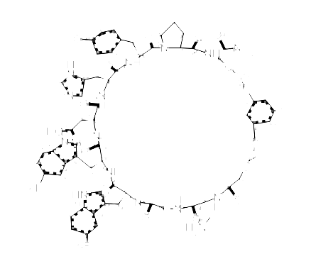 C[C@@]12CCCN1C(=O)[C@H](Cc1ccc(O)cc1)NC(=O)[C@H](Cc1cnc[nH]1)NC(=O)[C@H](CC(=O)O)NC(=O)[C@H](Cc1c[nH]c3ccc(F)cc13)NC(=O)[C@H](Cc1c[nH]c3ccc(F)cc13)NC(=O)CNC(=O)[C@@H](CN)NC(=O)CCSCc1cccc(c1)CSC[C@@H](C(N)=O)NC2=O